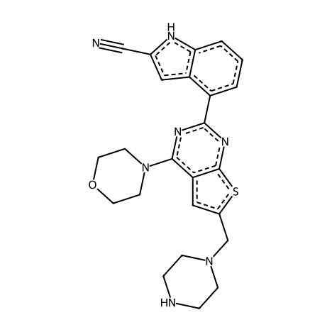 N#Cc1cc2c(-c3nc(N4CCOCC4)c4cc(CN5CCNCC5)sc4n3)cccc2[nH]1